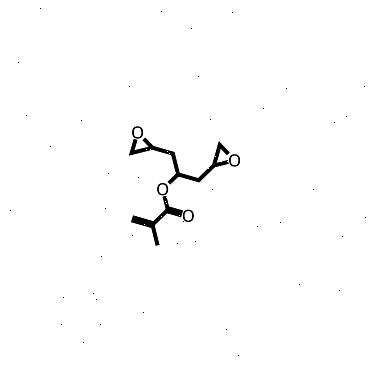 C=C(C)C(=O)OC(CC1CO1)CC1CO1